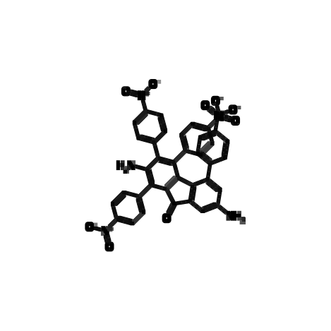 Nc1cc2c(c(-c3ccc([N+](=O)[O-])cc3)c1)-c1c(c(-c3ccc([N+](=O)[O-])cc3)c(N)c(-c3ccc([N+](=O)[O-])cc3)c1-c1ccc([N+](=O)[O-])cc1)C2=O